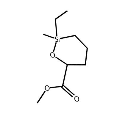 CC[Si]1(C)CCCC(C(=O)OC)O1